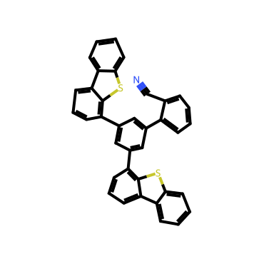 N#Cc1ccccc1-c1cc(-c2cccc3c2sc2ccccc23)cc(-c2cccc3c2sc2ccccc23)c1